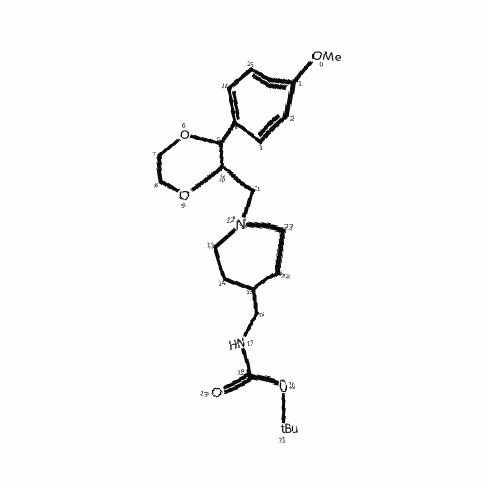 COc1ccc(C2OCCOC2CN2CCC(CNC(=O)OC(C)(C)C)CC2)cc1